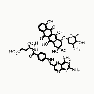 CC(=O)[C@]1(O)Cc2c(O)c3c(c(O)c2[C@@H](O[C@H]2C[C@H](N)[C@H](O)[C@H](C)O2)C1)C(=O)c1c(O)cccc1C3=O.Nc1nc(N)c2nc(CNc3ccc(C(=O)NC(CCC(=O)O)C(=O)O)cc3)cnc2n1